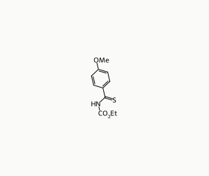 CCOC(=O)NC(=S)c1ccc(OC)cc1